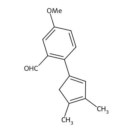 COc1ccc(C2=CC(C)=C(C)C2)c(C=O)c1